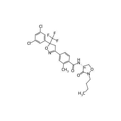 CCCCN1OC[C@@H](NC(=O)c2ccc(C3=NOC(c4cc(Cl)cc(Cl)c4)(C(F)(F)F)C3)cc2C)C1=O